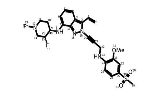 C=Cc1c2cccc(N[C@@H]3CCN(C(C)C)C[C@@H]3F)c2nn1C#CCNc1ccc(S(C)(=O)=O)cc1OC